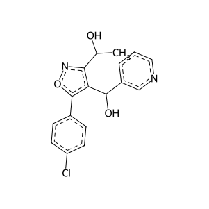 CC(O)c1noc(-c2ccc(Cl)cc2)c1C(O)c1cccnc1